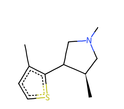 Cc1ccsc1C1CN(C)C[C@H]1C